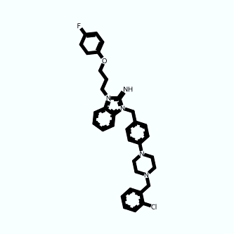 N=c1n(CCCOC2=CC=C(F)CC2)c2ccccc2n1Cc1ccc(N2CCN(Cc3ccccc3Cl)CC2)cc1